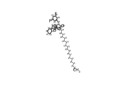 CCCCCCCCCCCCCCCCCCCCOC(=O)[C@H](Cc1cc(F)cc(F)c1)NP(=O)(Cl)Oc1ccccc1